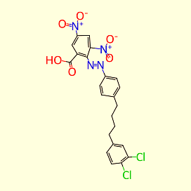 O=C(O)c1cc([N+](=O)[O-])cc([N+](=O)[O-])c1/N=N/c1ccc(CCCCc2ccc(Cl)c(Cl)c2)cc1